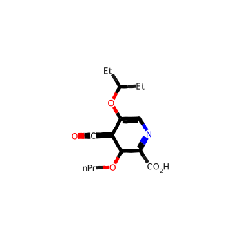 CCCOC1C(=C=O)C(OC(CC)CC)=CN=C1C(=O)O